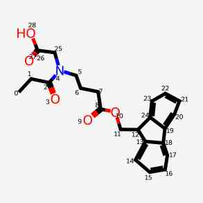 CCC(=O)N(CCCC(=O)OCC1c2ccccc2-c2ccccc21)CC(=O)O